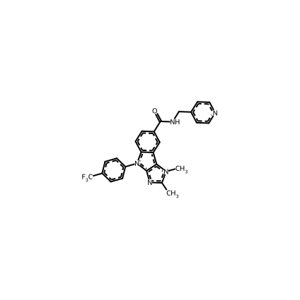 Cc1nc2c(c3cc(C(=O)NCc4ccncc4)ccc3n2-c2ccc(C(F)(F)F)cc2)n1C